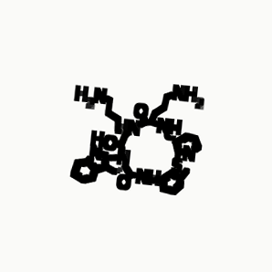 Cc1cccc2c1Sc1ncccc1CNC(CCCN)C(=O)N[C@@H](CCCCN)C(=O)N(C)[C@@H](Cc1c[nH]c3ccccc13)C(=O)NC2